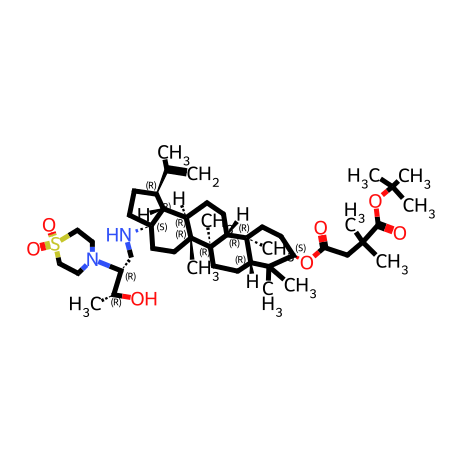 C=C(C)[C@@H]1CC[C@]2(NC[C@H]([C@@H](C)O)N3CCS(=O)(=O)CC3)CC[C@]3(C)[C@H](CC[C@@H]4[C@@]5(C)CC[C@H](OC(=O)CC(C)(C)C(=O)OC(C)(C)C)C(C)(C)[C@@H]5CC[C@]43C)[C@@H]12